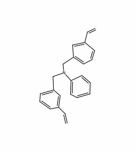 C=Cc1cccc(CN(Cc2cccc(C=C)c2)c2ccccc2)c1